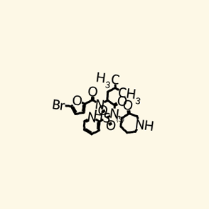 CC(C)CC(NC(=O)c1ccc(Br)o1)C(=O)N([C@H]1CCCNCC1=O)S(=O)(=O)c1ccccn1